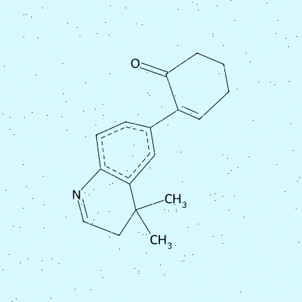 CC1(C)CC=Nc2ccc(C3=CCCCC3=O)cc21